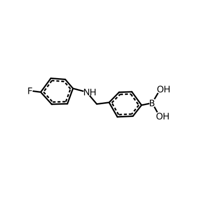 OB(O)c1ccc(CNc2ccc(F)cc2)cc1